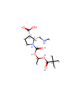 CNC[C@H]1[C@@H](C(=O)O)CCN1C(=O)OC(C)OC(=O)C(C)(C)C